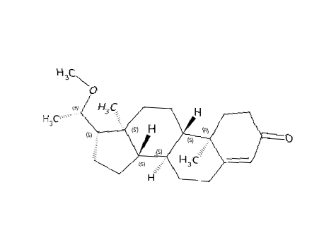 CO[C@@H](C)[C@H]1CC[C@H]2[C@@H]3CCC4=CC(=O)CC[C@]4(C)[C@H]3CC[C@]12C